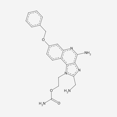 NCc1nc2c(N)nc3cc(OCc4ccccc4)ccc3c2n1CCOC(N)=O